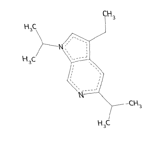 CCc1cn(C(C)C)c2cnc(C(C)C)cc12